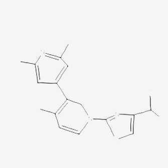 [2H]c1cc(C2=C(C)C=CN(c3nc(C(F)F)cs3)C2)cc(C)n1